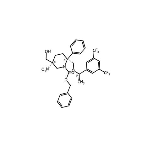 C[C@@H](OC[C@@]1(c2ccccc2)CC[C@@](CO)([N+](=O)[O-])CN1C(=O)OCc1ccccc1)c1cc(C(F)(F)F)cc(C(F)(F)F)c1